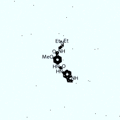 CCN(CC)CCNC(=O)c1ccc(NC(=O)Nc2ccc3[nH]ccc3c2)cc1OC